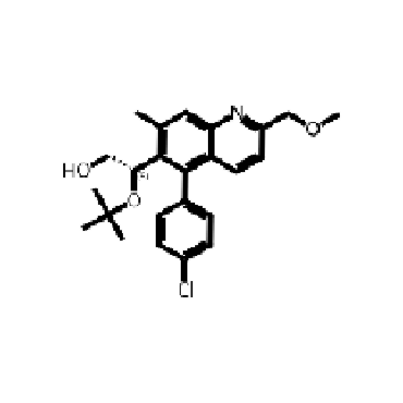 COCc1ccc2c(-c3ccc(Cl)cc3)c([C@@H](CO)OC(C)(C)C)c(C)cc2n1